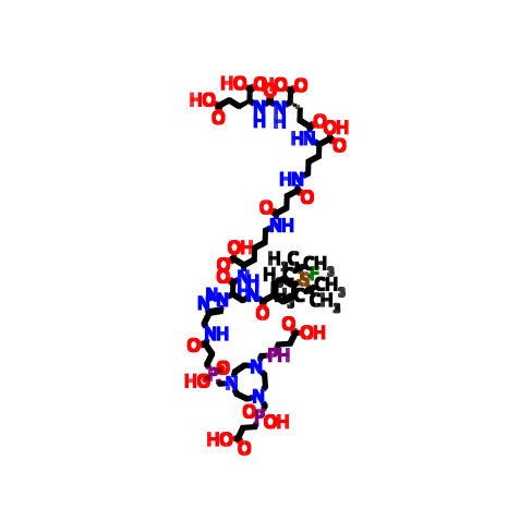 CC(C)(C)S(F)(c1ccc(C(=O)NCC(C(=O)NC(CCCCNC(=O)CCC(=O)NCCCC(NC(=O)CC[C@H](NC(=O)N[C@@H](CCC(=O)O)C(=O)O)C(=O)O)C(=O)O)C(=O)O)n2cc(CNC(=O)CCP(=O)(O)CN3CCN(CPCCC(=O)O)CCN(CP(=O)(O)CCC(=O)O)CC3)nn2)cc1)C(C)(C)C